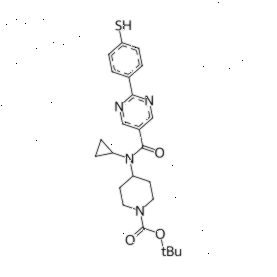 CC(C)(C)OC(=O)N1CCC(N(C(=O)c2cnc(-c3ccc(S)cc3)nc2)C2CC2)CC1